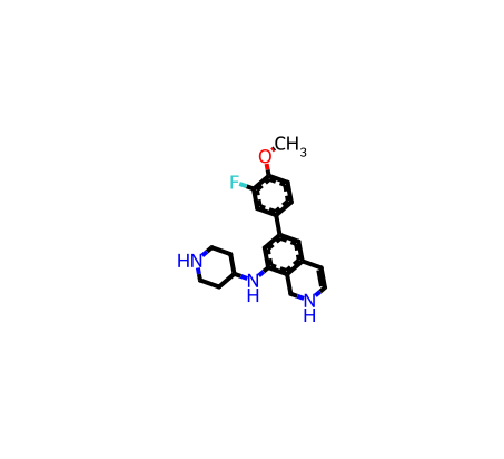 COc1ccc(-c2cc3c(c(NC4CCNCC4)c2)CNC=C3)cc1F